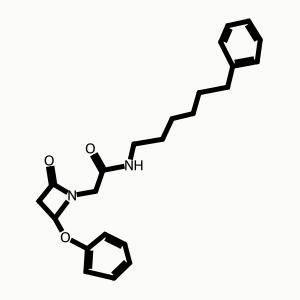 O=C(CN1C(=O)CC1Oc1ccccc1)NCCCCCCc1ccccc1